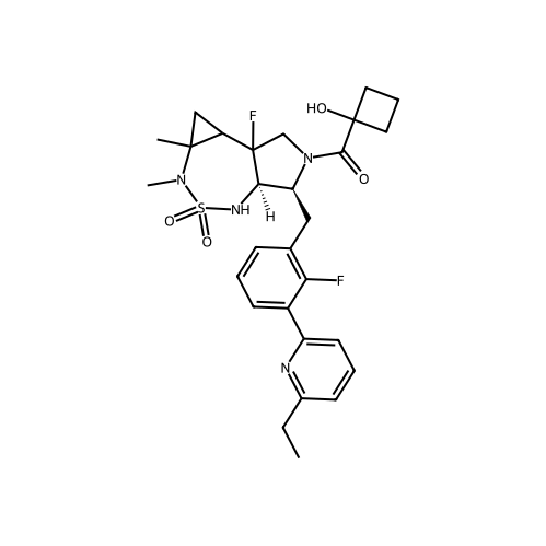 CCc1cccc(-c2cccc(C[C@H]3[C@H]4NS(=O)(=O)N(C)C5(C)CC5C4(F)CN3C(=O)C3(O)CCC3)c2F)n1